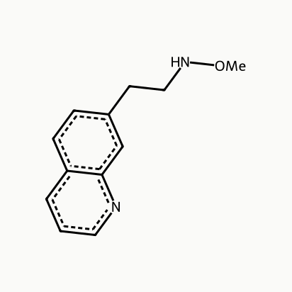 CONCCc1ccc2cccnc2c1